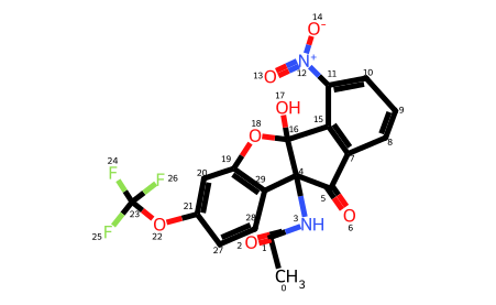 CC(=O)NC12C(=O)c3cccc([N+](=O)[O-])c3C1(O)Oc1cc(OC(F)(F)F)ccc12